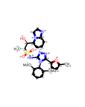 COc1cccc(OC)c1-n1c(NS(=O)(=O)[C@H](C)[C@@H](O)c2cccc3nccn23)nnc1-c1ccc(C)o1